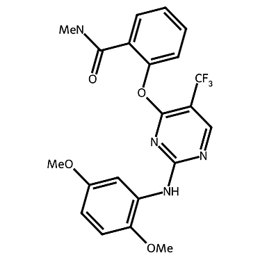 CNC(=O)c1ccccc1Oc1nc(Nc2cc(OC)ccc2OC)ncc1C(F)(F)F